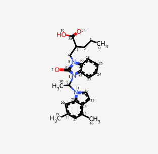 CCCC(Cn1c(=O)n(C(C)n2ccc3c(C)cc(C)cc32)c2ccccc21)C(=O)O